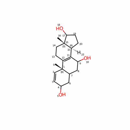 C[C@]12C=CC(O)CC1CC(O)C1=C2CC[C@]2(C)C(O)CC[C@@H]12